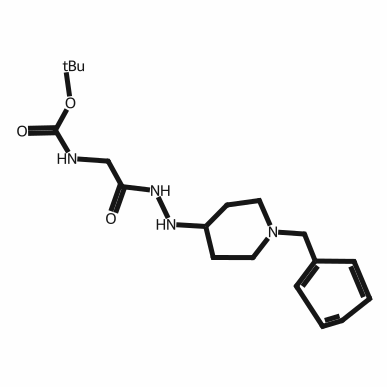 CC(C)(C)OC(=O)NCC(=O)NNC1CCN(Cc2ccccc2)CC1